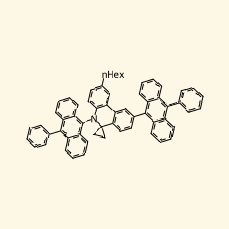 CCCCCCc1ccc2c(c1)-c1cc(-c3c4ccccc4c(-c4ccccc4)c4ccccc34)ccc1C1(CC1)N2c1c2ccccc2c(-c2ccccc2)c2ccccc12